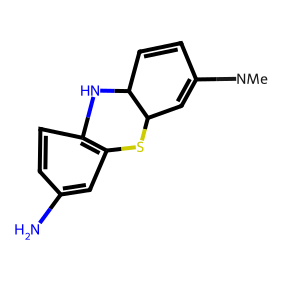 CNC1=CC2Sc3cc(N)ccc3NC2C=C1